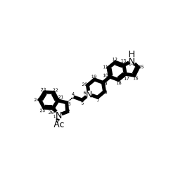 CC(=O)N1C[C@@H](CCN2CCC(c3ccc4[nH]ccc4c3)CC2)c2ccccc21